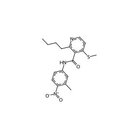 CCCCc1nccc(SC)c1C(=O)Nc1ccc([N+](=O)[O-])c(C)c1